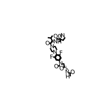 CC(=O)NC[C@H]1CN(c2cc(F)c(N3CCN(C(=O)[C@@H](NC(=O)C4(C)CC=NO4)C(C)C)CC3)c(F)c2)C(=O)O1